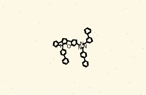 c1ccc(-c2ccc(-c3nc(-c4cccc(-c5ccccc5)c4)nc(-c4ccc5c(c4)oc4c5ccc5c6ccccc6n(-c6ccc(-c7ccccc7)cc6)c54)n3)cc2)cc1